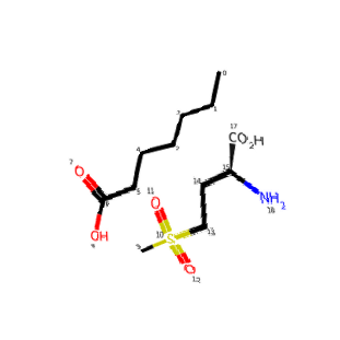 CCCCCCC(=O)O.CS(=O)(=O)CC[C@H](N)C(=O)O